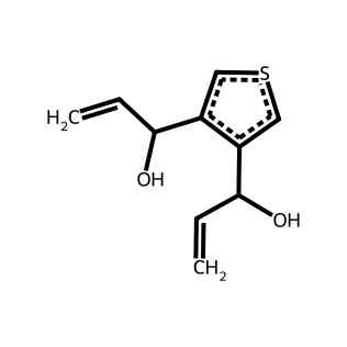 C=CC(O)c1cscc1C(O)C=C